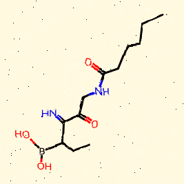 [CH2]CCCCC(=O)NCC(=O)C(=N)C(CC)B(O)O